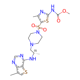 COC(=O)Nc1nc(C)c(S(=O)(=O)N2CCN(C[C@H](C)Nc3ncnc4c(C)csc34)CC2)s1